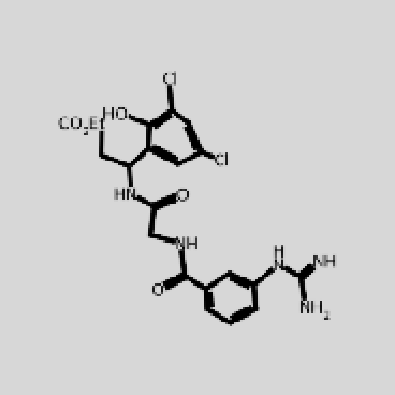 CCOC(=O)CC(NC(=O)CNC(=O)c1cccc(NC(=N)N)c1)c1cc(Cl)cc(Cl)c1O